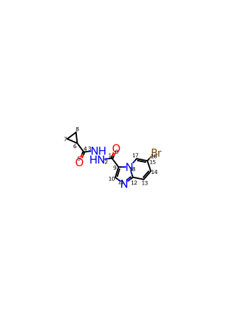 O=C(NNC(=O)C1CC1)c1cnc2ccc(Br)cn12